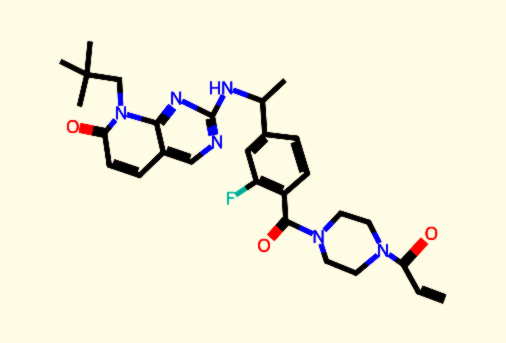 C=CC(=O)N1CCN(C(=O)c2ccc(C(C)Nc3ncc4ccc(=O)n(CC(C)(C)C)c4n3)cc2F)CC1